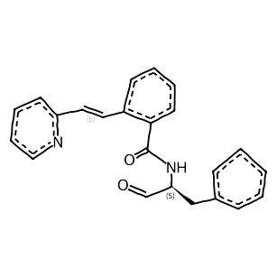 O=C[C@H](Cc1ccccc1)NC(=O)c1ccccc1/C=C/c1ccccn1